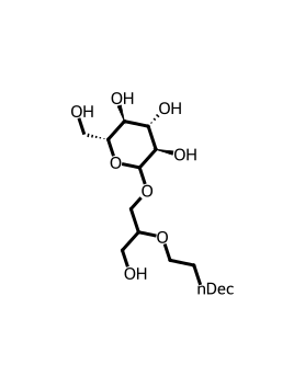 CCCCCCCCCCCCOC(CO)COC1O[C@H](CO)[C@@H](O)[C@H](O)[C@H]1O